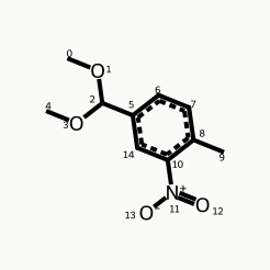 COC(OC)c1ccc(C)c([N+](=O)[O-])c1